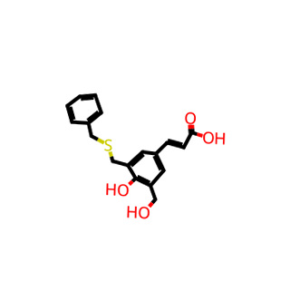 O=C(O)/C=C/c1cc(CO)c(O)c(CSCc2ccccc2)c1